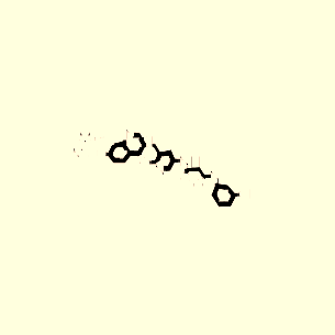 COc1ccc2c(Oc3ncc(NC(=O)CC(=O)Nc4cccc(C(F)(F)F)c4)cc3Cl)ccnc2c1OC